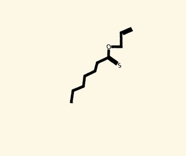 [CH2]CCCCCC(=S)OCC=C